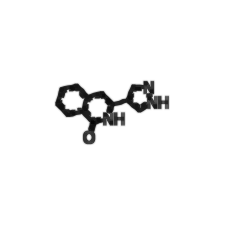 O=c1[nH]c(-c2cn[nH]c2)cc2ccccc12